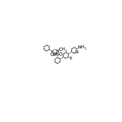 CN(C[C@@H](O)c1ccccc1)S(=O)(=O)c1ccccc1-c1ccc(-c2ccc(N)nc2)c(F)c1